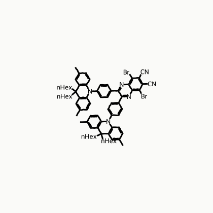 CCCCCCC1(CCCCCC)c2cc(C)ccc2N(c2ccc(-c3nc4c(Br)c(C#N)c(C#N)c(Br)c4nc3-c3ccc(N4c5ccc(C)cc5C(CCCCCC)(CCCCCC)c5cc(C)ccc54)cc3)cc2)c2ccc(C)cc21